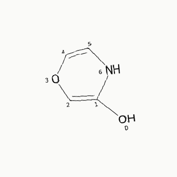 OC1=COC=CN1